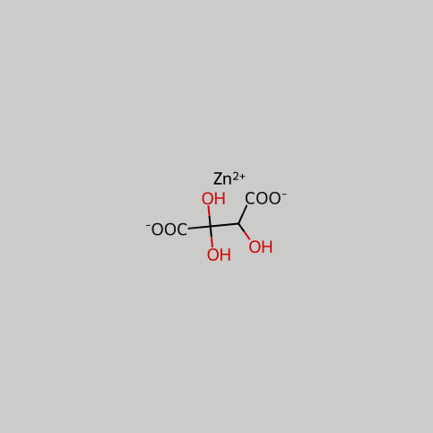 O=C([O-])C(O)C(O)(O)C(=O)[O-].[Zn+2]